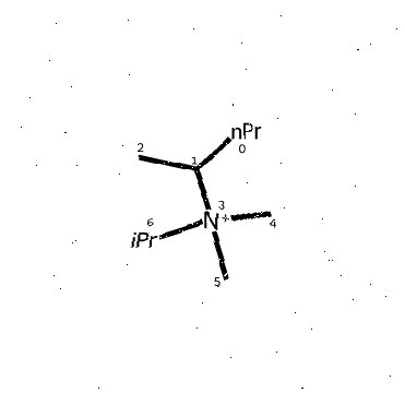 CCCC(C)[N+](C)(C)C(C)C